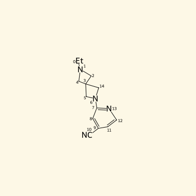 CCN1CC2(C1)CN(c1cc(C#N)ccn1)C2